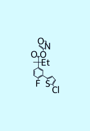 CCC(C)(C(=O)Oc1cocn1)c1ccc(F)c(-c2ccc(Cl)s2)c1